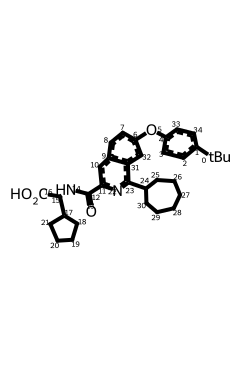 CC(C)(C)c1ccc(Oc2ccc3cc(C(=O)NC(C(=O)O)C4CCCC4)nc(C4CCCCCC4)c3c2)cc1